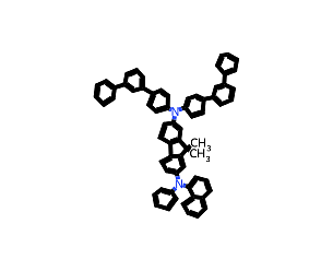 CC1(C)c2cc(N(c3ccc(-c4cccc(-c5ccccc5)c4)cc3)c3ccc(-c4cccc(-c5ccccc5)c4)cc3)ccc2-c2ccc(N(c3ccccc3)c3cccc4ccccc34)cc21